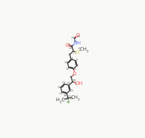 CSC(Cc1ccc(OCC(O)c2cccc(C(C)(C)F)c2)cc1)C(=O)NC=O